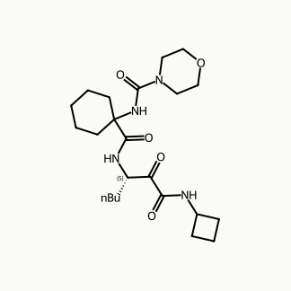 CCCC[C@H](NC(=O)C1(NC(=O)N2CCOCC2)CCCCC1)C(=O)C(=O)NC1CCC1